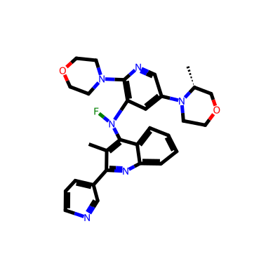 Cc1c(-c2cccnc2)nc2ccccc2c1N(F)c1cc(N2CCOC[C@H]2C)cnc1N1CCOCC1